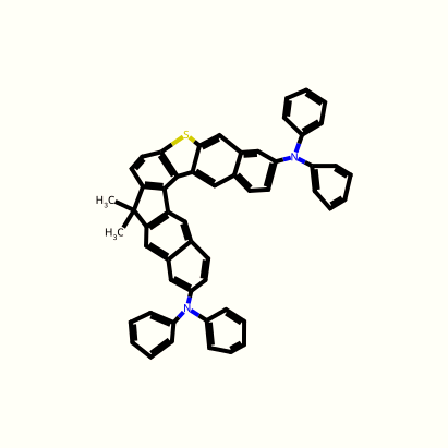 CC1(C)c2cc3cc(N(c4ccccc4)c4ccccc4)ccc3cc2-c2c1ccc1sc3cc4cc(N(c5ccccc5)c5ccccc5)ccc4cc3c21